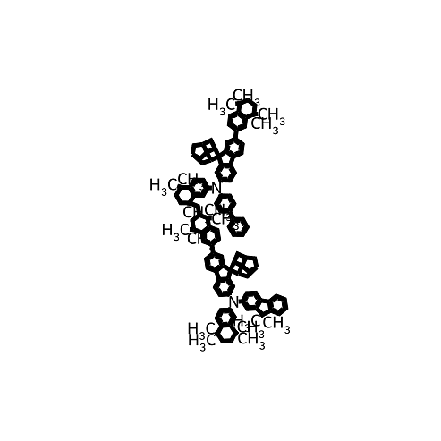 CC1(C)CCC(C)(C)c2cc(-c3ccc4c(c3)C3(c5cc(N(c6ccc(-c7ccccc7)cc6)c6ccc7c(c6)C(C)(CC6CC(C)(C)c8cc(-c9ccc%10c(c9)C9(c%11cc(N(c%12ccc%13c(c%12)C(C)(C)CCC%13(C)C)c%12ccc%13c(c%12)C(C)(C)c%12ccccc%12-%13)ccc%11-%10)C%10CC%11CC%12CC9C%12%10C%11)ccc8C6(C)C)CCC7(C)C)ccc5-4)C4CC5CC6CC3C64C5)ccc21